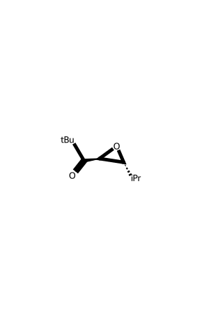 CC(C)[C@H]1O[C@@H]1C(=O)C(C)(C)C